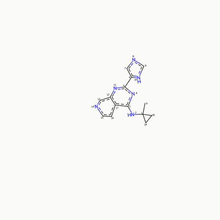 CC1(Nc2nc(-c3cnc[nH]3)nc3cnccc23)CC1